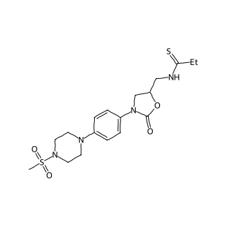 CCC(=S)NCC1CN(c2ccc(N3CCN(S(C)(=O)=O)CC3)cc2)C(=O)O1